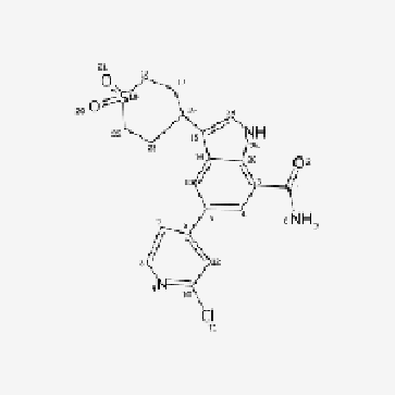 NC(=O)c1cc(-c2ccnc(Cl)c2)cc2c(C3CCS(=O)(=O)CC3)c[nH]c12